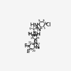 CC(c1nc2cc(Cl)ccc2[nH]1)[C@H]1[C@@H]2C[C@H](n3cnc4cc(F)c(F)cc43)C[C@@H]21